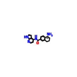 N[C@@H]1CCCc2cc(C(=O)Nc3ccnc4[nH]ccc34)ccc21